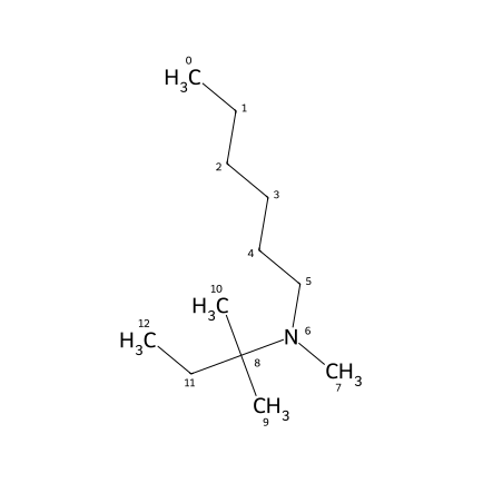 CCCCCCN(C)C(C)(C)CC